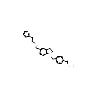 NC(=O)c1ccc(CN2CCc3cc(CNCCc4cccs4)ccc32)cc1